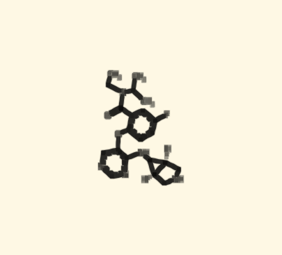 CCN(C(=O)c1cc(F)ccc1Oc1cncnc1NC1[C@H]2CNC[C@@H]12)C(C)C